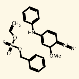 C=COS(=O)(=S)OCc1ccccc1.COC1C=C(Nc2ccccc2)C=CC1=[N+]=[N-]